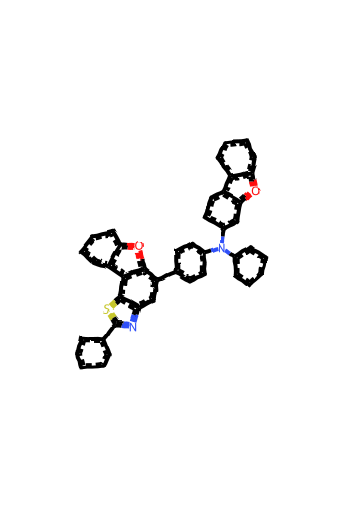 c1ccc(-c2nc3cc(-c4ccc(N(c5ccccc5)c5ccc6c(c5)oc5ccccc56)cc4)c4oc5ccccc5c4c3s2)cc1